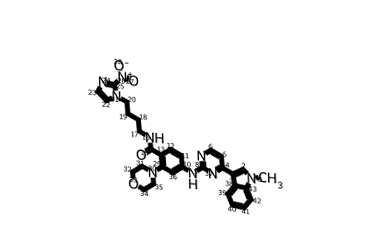 Cn1cc(-c2ccnc(Nc3ccc(C(=O)NCCCCn4ccnc4[N+](=O)[O-])c(N4CCOCC4)c3)n2)c2ccccc21